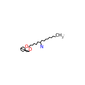 [CH2]CCCCCCCCC(C#N)CCCCC[C]1OC2CC3CCC2CC3O1